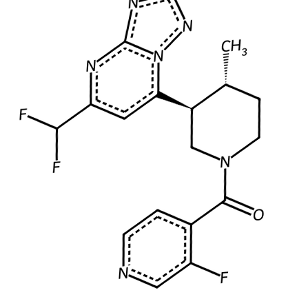 C[C@@H]1CCN(C(=O)c2ccncc2F)C[C@H]1c1cc(C(F)F)nc2ncnn12